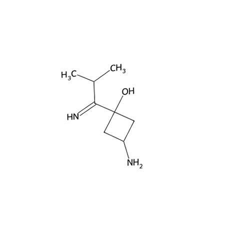 CC(C)C(=N)C1(O)CC(N)C1